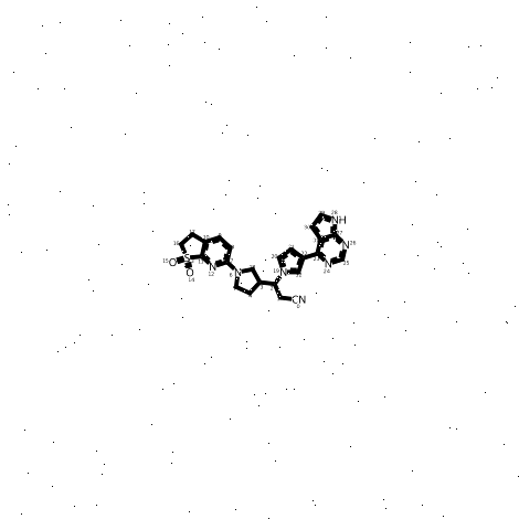 N#CCC(C1CCN(c2ccc3c(n2)S(=O)(=O)CC3)C1)n1ccc(-c2ncnc3[nH]ccc23)c1